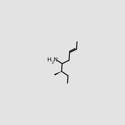 C/C=C/CC(N)[C@H](C)CC